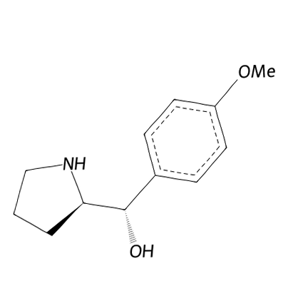 COc1ccc([C@H](O)[C@H]2CCCN2)cc1